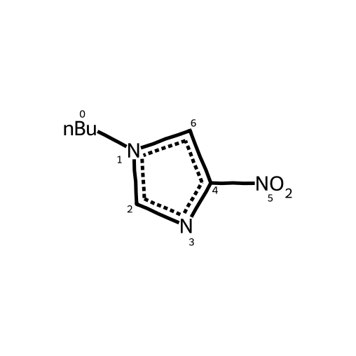 CCCCn1cnc([N+](=O)[O-])c1